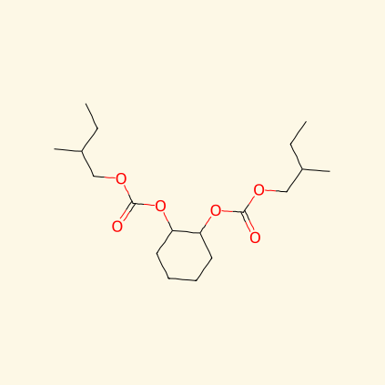 CCC(C)COC(=O)OC1CCCCC1OC(=O)OCC(C)CC